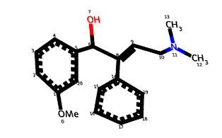 COc1cccc(C(O)C(=CCN(C)C)c2ccccc2)c1